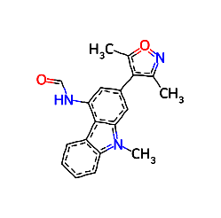 Cc1noc(C)c1-c1cc(NC=O)c2c3ccccc3n(C)c2c1